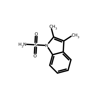 Cc1c(C)n(S(N)(=O)=O)c2ccccc12